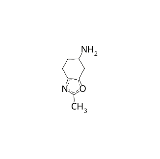 Cc1nc2c(o1)CC(N)CC2